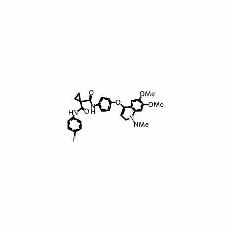 CNN1CC=C(Oc2ccc(NC(=O)C3(C(=O)Nc4ccc(F)cc4)CC3)cc2)c2cc(OC)c(OC)cc21